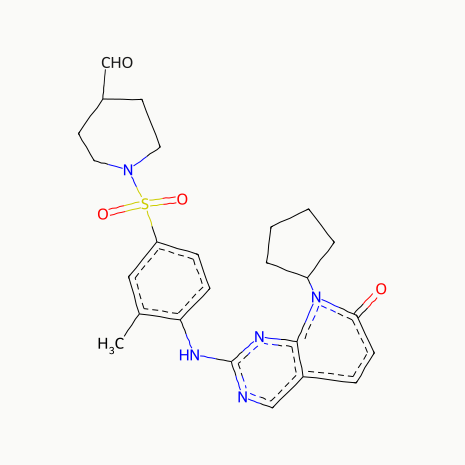 Cc1cc(S(=O)(=O)N2CCC(C=O)CC2)ccc1Nc1ncc2ccc(=O)n(C3CCCC3)c2n1